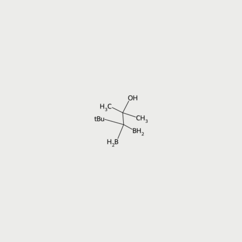 BC(B)(C(C)(C)C)C(C)(C)O